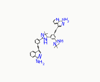 CC1(C)CNC(c2cc(C#Cc3cnc(N)c4ncccc34)cc(C3NC(c4cccc(C#Cc5cnc(N)c6ccccc56)c4)=NC3(C)C)c2)=N1